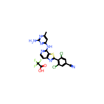 Cc1cc(Nc2nccc3nc(-c4c(Cl)cc(C#N)cc4Cl)sc23)nc(N)n1.O=C(O)C(F)(F)F